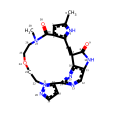 Cc1cc2c([nH]1)/C=C1\C(=O)Nc3cnc(nc31)-c1ccnn1CCOCCN(C)C2=O